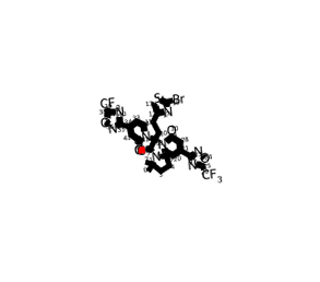 CC1(C)CCCN1C(=O)C(CCc1csc(Br)n1)(n1ccc(-c2noc(C(F)(F)F)n2)cc1=O)n1ccc(-c2noc(C(F)(F)F)n2)cc1=O